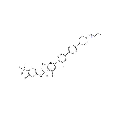 CC/C=C/C1CCC(c2ccc(-c3ccc(-c4cc(F)c(C(F)(F)Oc5ccc(C(F)(F)F)c(F)c5)c(F)c4)c(F)c3)cc2)CC1